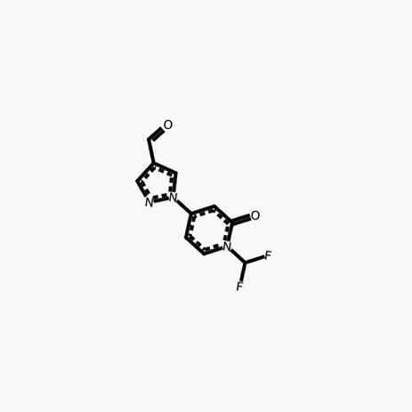 O=Cc1cnn(-c2ccn(C(F)F)c(=O)c2)c1